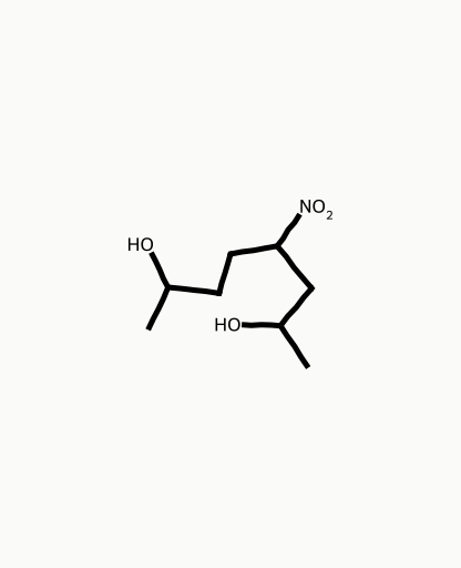 CC(O)CCC(CC(C)O)[N+](=O)[O-]